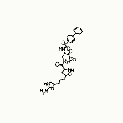 Nc1nc(CCCC2CC(C(=O)NCC(NS(=O)(=O)c3ccc(-c4ccccc4)cc3)C(=O)O)NO2)c[nH]1